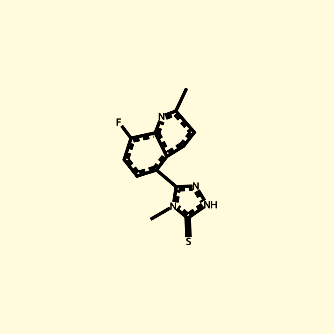 Cc1ccc2c(-c3n[nH]c(=S)n3C)ccc(F)c2n1